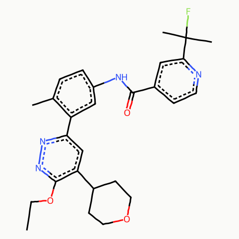 CCOc1nnc(-c2cc(NC(=O)c3ccnc(C(C)(C)F)c3)ccc2C)cc1C1CCOCC1